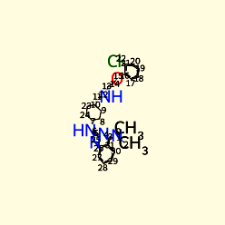 CN(C)c1nc(N[C@H]2CC[C@@H](CNCCOc3ccccc3Cl)CC2)nc2ccccc12